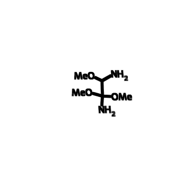 COC(N)C(N)(OC)OC